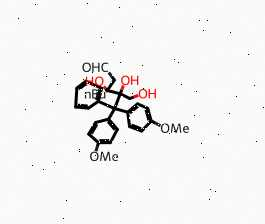 CCCCC(O)(CC=O)C(O)(CO)C(c1ccccc1)(c1ccc(OC)cc1)c1ccc(OC)cc1